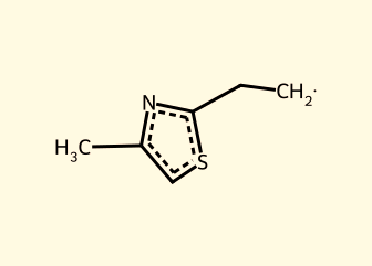 [CH2]Cc1nc(C)cs1